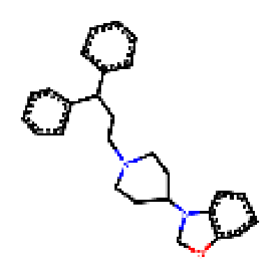 c1ccc(C(CCN2CCC(N3COc4ccccc43)CC2)c2ccccc2)cc1